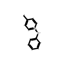 Cc1cc[n+](Oc2ccccc2)cc1